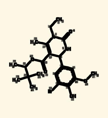 CCN1C(=O)NC(c2cc(Br)c(O)c(OC)c2)C(C(=O)OC(C)C(C)(C)C)=C1C